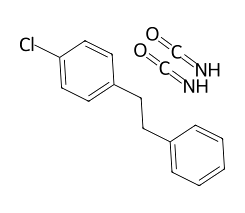 Clc1ccc(CCc2ccccc2)cc1.N=C=O.N=C=O